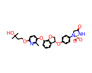 Cc1nc(OCCC(C)(C)O)ccc1Oc1cccc2c1OC[C@H]2Oc1ccc(N2CC(=O)NS2(=O)=O)cc1